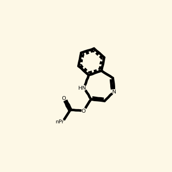 CCCC(=O)OC1=CN=Cc2ccccc2N1